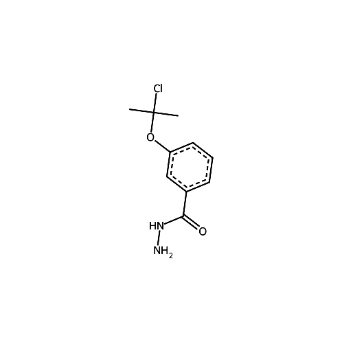 CC(C)(Cl)Oc1cccc(C(=O)NN)c1